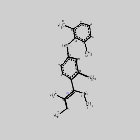 CC/C(C)=C(\NC)c1ccc(Nc2c(C)cccc2C)cc1N